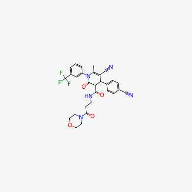 CC1=C(C#N)C(c2ccc(C#N)cc2)C(C(=O)NCCC(=O)N2CCOCC2)C(=O)N1c1cccc(C(F)(F)F)c1